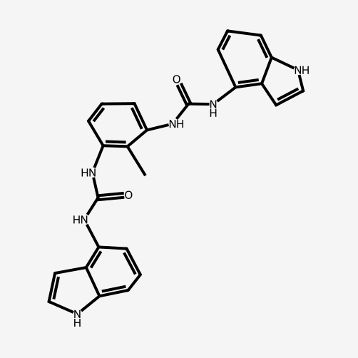 Cc1c(NC(=O)Nc2cccc3[nH]ccc23)cccc1NC(=O)Nc1cccc2[nH]ccc12